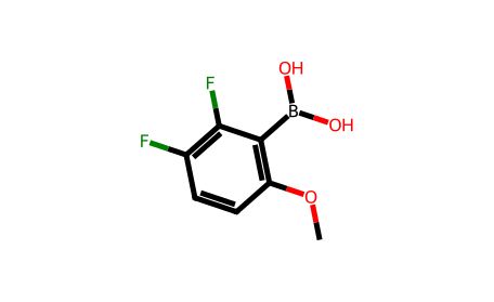 COc1ccc(F)c(F)c1B(O)O